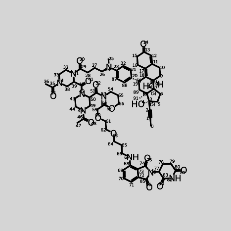 CC#C[C@]1(O)CC[C@H]2[C@@H]3CCC4=CC(=O)CCC4=C3[C@@H](c3ccc(N(C)CCCC(=O)N4CCN(C(C)=O)CC4C(=O)N4CCN(C(C)=O)CC4C(=O)NCCCOCCOCCOCCCNc4cccc5c4C(=O)N(C4CCC(=O)NC4=O)C5=O)cc3)C[C@@]21C